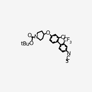 CC(C)(C)OC(=O)N1CCC(Oc2ccc(-c3ccc(N=C=S)cc3C(F)(F)F)c(Cl)c2)CC1